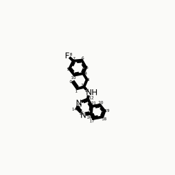 C=CC(Cc1ccc(F)cc1)Nc1ncnc2ccccc12